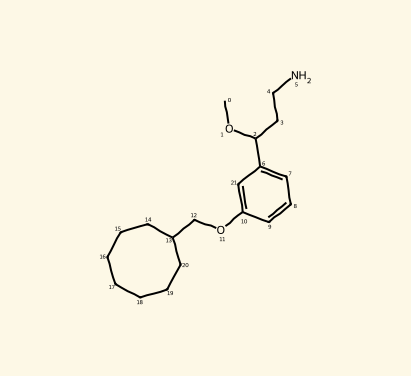 COC(CCN)c1cccc(OCC2CCCCCCC2)c1